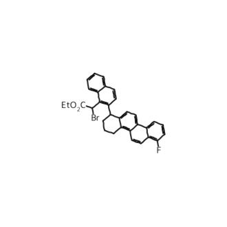 CCOC(=O)C(Br)c1c(C2CCCc3c2ccc2c3ccc3c(F)cccc32)ccc2ccccc12